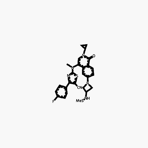 CSNC1CN(c2ccc3c(=O)n(C4CC4)cc(N(C)c4nc(-c5ccc(F)cc5)c(C#N)s4)c3c2)C1